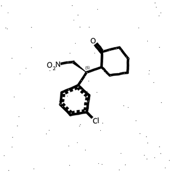 O=C1CCCCC1[C@H](C[N+](=O)[O-])c1cccc(Cl)c1